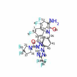 N[C@H]1CC(F)(F)c2cc(F)c(-c3nnc(N4CCC(F)(F)C4)o3)cc2N(Cc2ccc(-n3cnc(C(F)(F)F)n3)cc2)C1=O